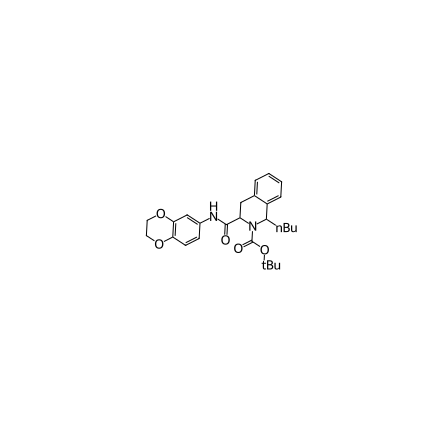 CCCCC1c2ccccc2CC(C(=O)Nc2ccc3c(c2)OCCO3)N1C(=O)OC(C)(C)C